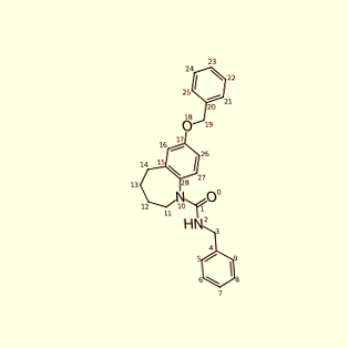 O=C(NCc1ccccc1)N1CCCCc2cc(OCc3ccccc3)ccc21